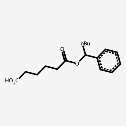 CCCCC(OC(=O)CCCCC(=O)O)c1ccccc1